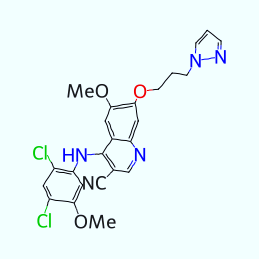 COc1cc(Nc2c(C#N)cnc3cc(OCCCn4cccn4)c(OC)cc23)c(Cl)cc1Cl